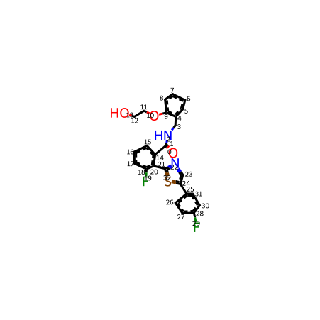 O=C(NCc1ccccc1OCCO)c1cccc(F)c1-c1ncc(-c2ccc(F)cc2)s1